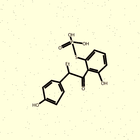 CCC(C(=O)c1c(O)cccc1SP(=O)(O)O)c1ccc(O)cc1